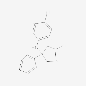 CCCc1ccc(NC2(c3ccccc3)CCN(C)C2)cc1